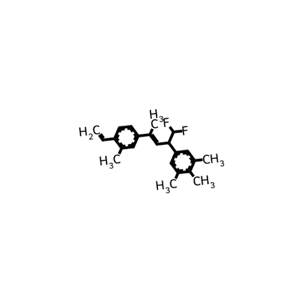 C=Cc1ccc(/C(C)=C/C(c2cc(C)c(C)c(C)c2)C(F)F)cc1C